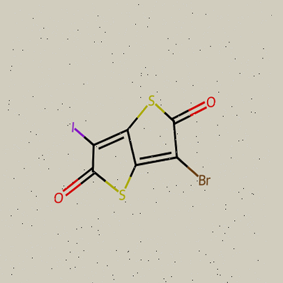 O=C1SC2=C(I)C(=O)SC2=C1Br